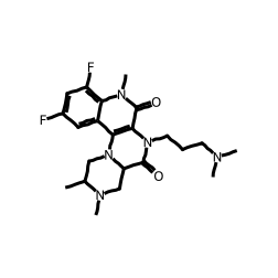 CC1CN2c3c(c(=O)n(C)c4c(F)cc(F)cc34)N(CCCN(C)C)C(=O)C2CN1C